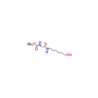 CC(C)(C)OC(=O)NCC(=O)NCCCCCCO